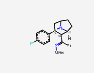 CCC(=NOC)[C@H]1[C@@H](c2ccc(F)cc2)CC2CC[C@@H]1N2C